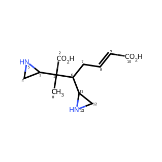 CC(C(=O)O)(C1CN1)C(C/C=C/C(=O)O)C1CN1